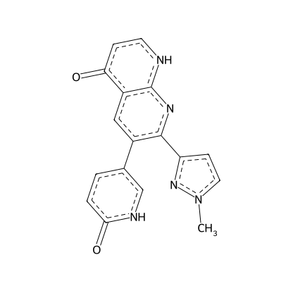 Cn1ccc(-c2nc3[nH]ccc(=O)c3cc2-c2ccc(=O)[nH]c2)n1